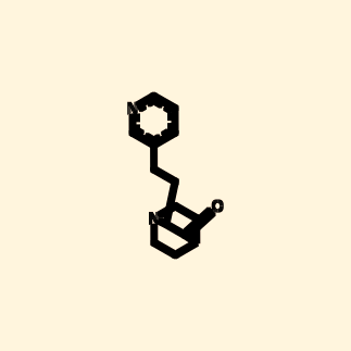 O=C1C2CCN(CC2)C1CCc1cccnc1